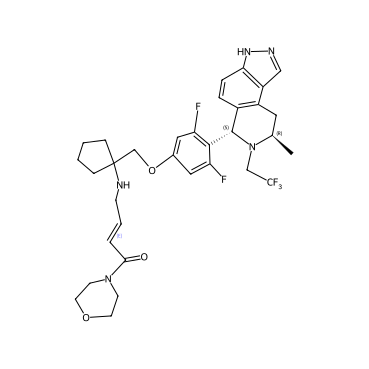 C[C@@H]1Cc2c(ccc3[nH]ncc23)[C@@H](c2c(F)cc(OCC3(NC/C=C/C(=O)N4CCOCC4)CCCC3)cc2F)N1CC(F)(F)F